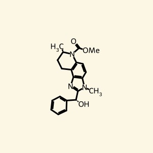 COC(=O)N1c2ccc3c(nc([C@H](O)c4ccccc4)n3C)c2CC[C@H]1C